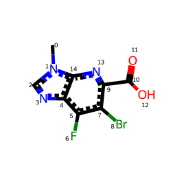 Cn1cnc2c(F)c(Br)c(C(=O)O)nc21